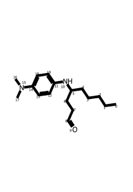 CCCCCC(CCC=O)Nc1ccc(N(C)C)cc1